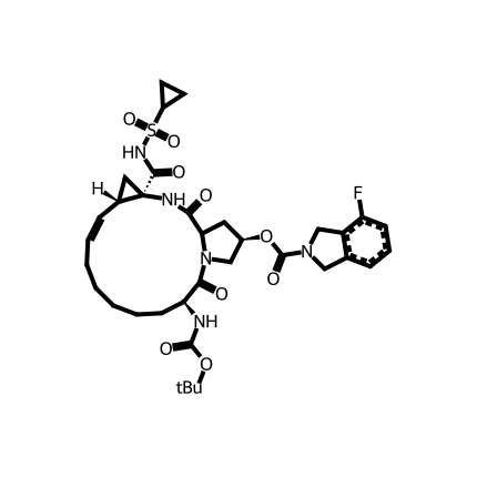 CC(C)(C)OC(=O)N[C@H]1CCCCC/C=C\[C@@H]2C[C@@]2(C(=O)NS(=O)(=O)C2CC2)NC(=O)C2C[C@@H](OC(=O)N3Cc4cccc(F)c4C3)CN2C1=O